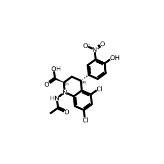 CC(=O)NN1c2cc(Cl)cc(Cl)c2[C@@H](c2ccc(O)c([N+](=O)[O-])c2)C[C@@H]1C(=O)O